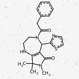 CN1C(=O)C2=C(NCCN(C(=O)Cc3ccccc3)C2c2nccs2)C1(C)C